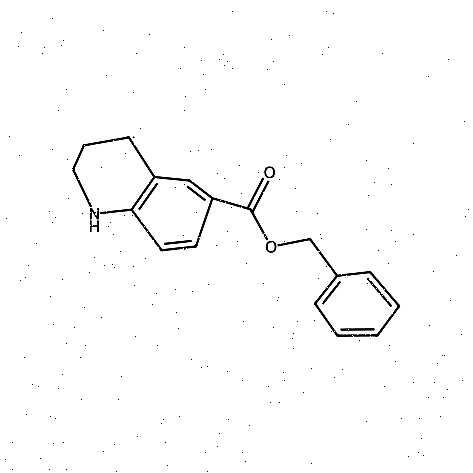 O=C(OCc1ccccc1)c1ccc2c(c1)[CH]CCN2